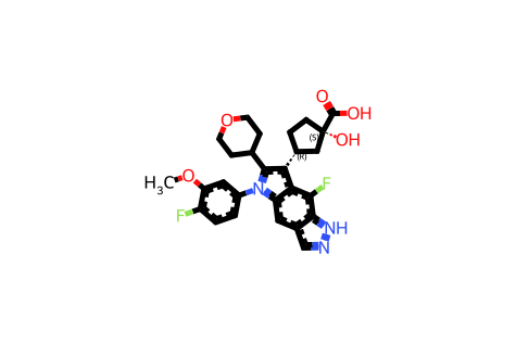 COc1cc(-n2c(C3CCOCC3)c([C@@H]3CC[C@@](O)(C(=O)O)C3)c3c(F)c4[nH]ncc4cc32)ccc1F